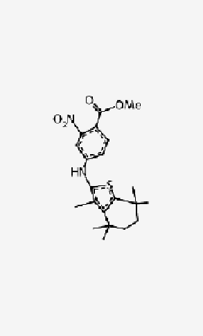 COC(=O)c1ccc(Nc2sc3c(c2C)C(C)(C)CCC3(C)C)cc1[N+](=O)[O-]